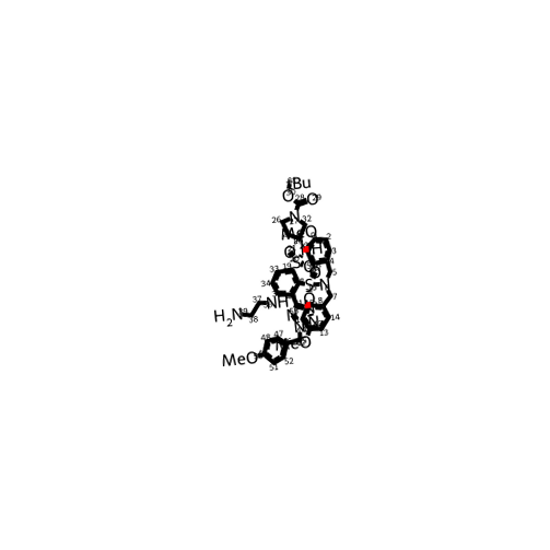 COc1ccc(CN(Cc2ccc(OC)cc2)S(=O)(=O)c2c(S(=O)(=O)N[C@@H]3CCN(C(=O)OC(C)(C)C)C3)ccc(NCCN)c2-c2nnn(Cc3ccc(OC)cc3)n2)cc1